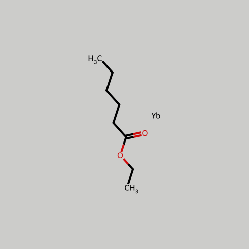 CCCCCC(=O)OCC.[Yb]